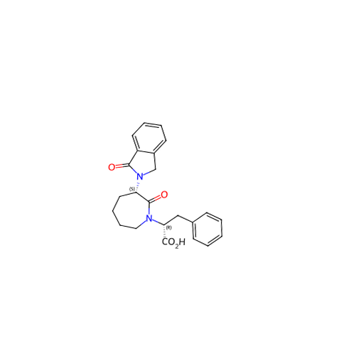 O=C(O)[C@@H](Cc1ccccc1)N1CCCC[C@H](N2Cc3ccccc3C2=O)C1=O